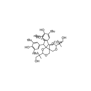 CCCCc1cc(C(CC(=O)O)C2(C(CC(=O)O)c3cc(CCCC)c(O)c(C(C)(C)C)c3)OC(C(C)(C)CO)OCC23COC(C(C)(C)CO)OC3)cc(C(C)(C)C)c1O